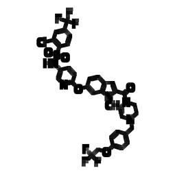 Cn1c(C(=O)N2CCN(Cc3ccc(OCC(F)(F)F)cc3)CC2)cc2ccc(Oc3ccc(NS(=O)(=O)c4ccc(C(F)(F)F)cc4Cl)cn3)cc21